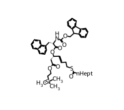 CCCCCCCC(=O)SCC/C=C/[C@H](CC(=O)OCC[Si](C)(C)C)OC(=O)[C@H](Cc1cccc2ccccc12)NC(=O)OCC1c2ccccc2-c2ccccc21